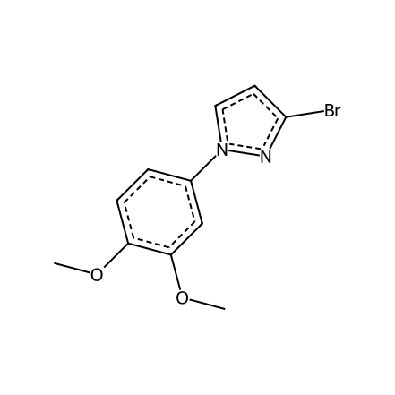 COc1ccc(-n2ccc(Br)n2)cc1OC